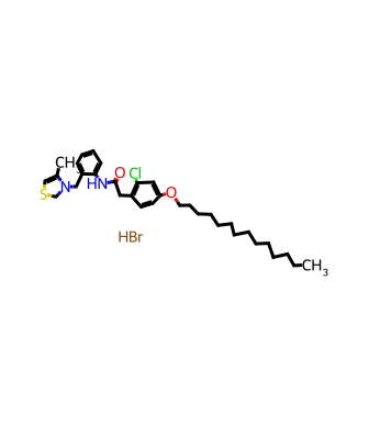 Br.CCCCCCCCCCCCCCOc1ccc(CC(=O)Nc2ccccc2CN2CSC=C2C)c(Cl)c1